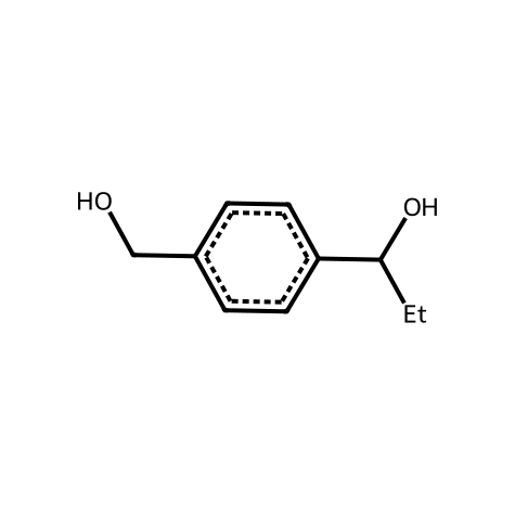 CCC(O)c1ccc(CO)cc1